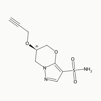 C#CCO[C@H]1COc2c(S(N)(=O)=O)cnn2C1